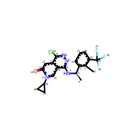 Cc1c([C@@H](C)Nc2nnc(Cl)c3cc(=O)n(C4CC4)cc23)cccc1C(F)(F)F